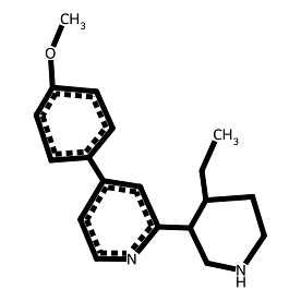 CCC1CCNCC1c1cc(-c2ccc(OC)cc2)ccn1